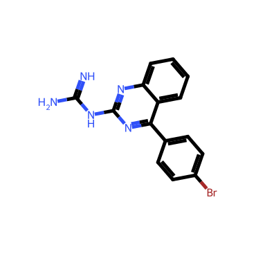 N=C(N)Nc1nc(-c2ccc(Br)cc2)c2ccccc2n1